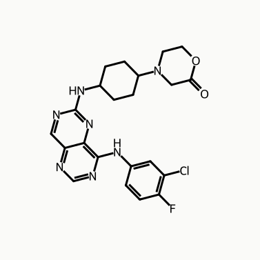 O=C1CN(C2CCC(Nc3ncc4ncnc(Nc5ccc(F)c(Cl)c5)c4n3)CC2)CCO1